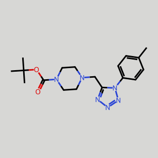 Cc1ccc(-n2nnnc2CN2CCN(C(=O)OC(C)(C)C)CC2)cc1